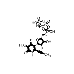 CC#Cc1[nH]c(=O)c(C)c(F)c1[C@@H]1O[C@H](COP(=O)(O)OP(=O)(O)OP(=O)(O)O)C(O)[C@@H]1F